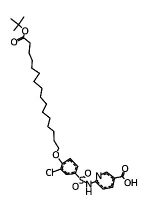 CC(C)(C)OC(=O)CCCCCCCCCCCCCCCOc1ccc(S(=O)(=O)Nc2ccc(C(=O)O)cn2)cc1Cl